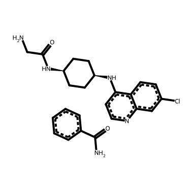 NC(=O)c1ccccc1.NCC(=O)N[C@H]1CC[C@@H](Nc2ccnc3cc(Cl)ccc23)CC1